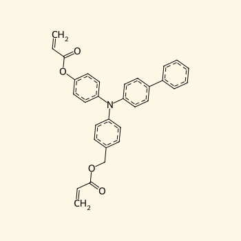 C=CC(=O)OCc1ccc(N(c2ccc(OC(=O)C=C)cc2)c2ccc(-c3ccccc3)cc2)cc1